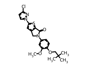 COc1cc(N2Cc3cc(-n4ccc(Cl)n4)sc3C2=O)ccc1OCC(C)(C)C